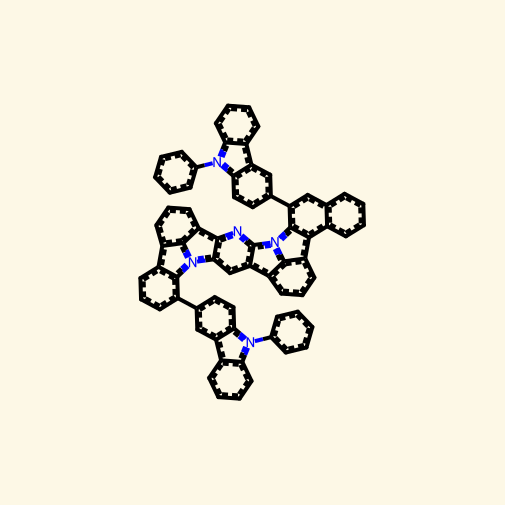 c1ccc(-n2c3ccccc3c3cc(-c4cccc5c6cccc7c8nc9c(cc8n(c45)c67)c4cccc5c6c7ccccc7cc(-c7ccc8c(c7)c7ccccc7n8-c7ccccc7)c6n9c45)ccc32)cc1